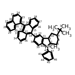 CC(C)(C)C1CCC2(C)C(C1)c1cc(-c3c4ccccc4c(-c4cccc5ccccc45)c4ccccc34)ccc1N2c1ccccc1